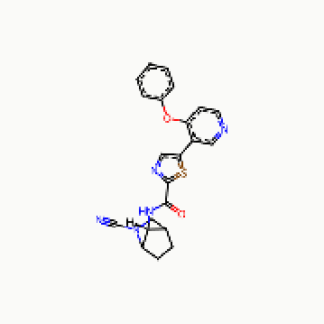 N#CN1CC2CCC1[C@@H]2NC(=O)c1ncc(-c2cnccc2Oc2ccccc2)s1